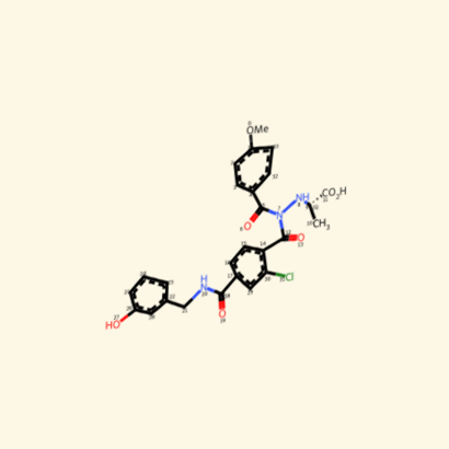 COc1ccc(C(=O)N(N[C@@H](C)C(=O)O)C(=O)c2ccc(C(=O)NCc3cccc(O)c3)cc2Cl)cc1